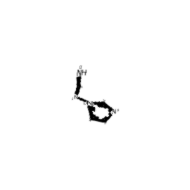 N=C=Nn1ccnc1